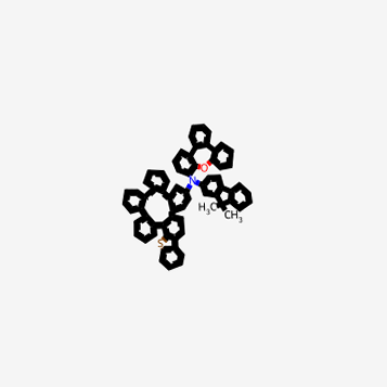 CC1(C)c2ccccc2-c2ccc(N(c3ccc4c(c3)c3ccccc3c3ccccc3c3ccccc3c3c4ccc4c5ccccc5sc43)c3cccc4c3Oc3ccccc3-c3ccccc3-4)cc21